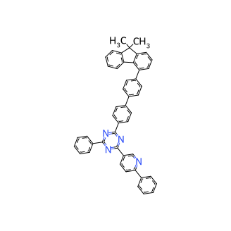 CC1(C)c2ccccc2-c2c(-c3ccc(-c4ccc(-c5nc(-c6ccccc6)nc(-c6ccc(-c7ccccc7)nc6)n5)cc4)cc3)cccc21